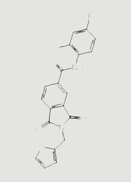 O=C(Nc1ccc(F)cc1F)c1ccc2c(c1)C(=O)N(Cc1ccco1)C2=O